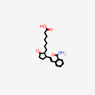 NC(=O)c1ccccc1/C=C/C1CCC(=O)C1CCCCCCC(=O)O